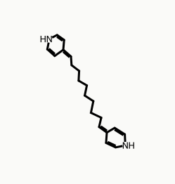 C1=CC(=CCCCCCCCCC=C2C=CNC=C2)C=CN1